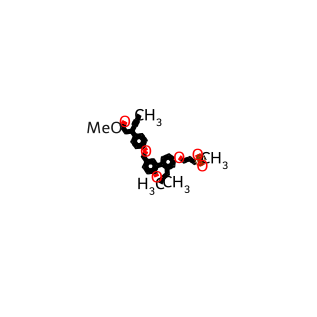 CC#CC(CC(=O)OC)c1ccc(OCc2ccc3c(c2)-c2ccc(OCCCS(C)(=O)=O)cc2CC(C)(C)O3)cc1